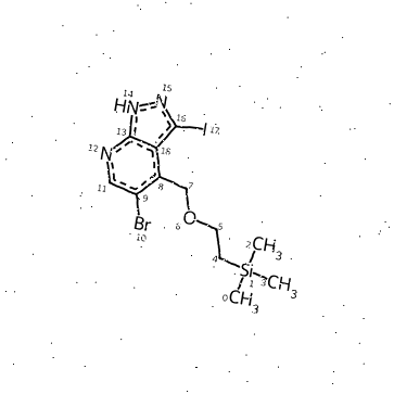 C[Si](C)(C)CCOCc1c(Br)cnc2[nH]nc(I)c12